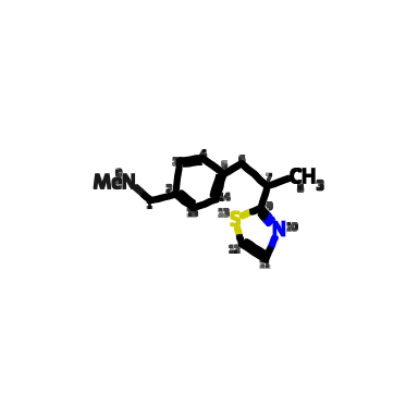 CNCc1ccc(CC(C)c2nccs2)cc1